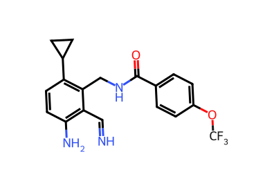 N=Cc1c(N)ccc(C2CC2)c1CNC(=O)c1ccc(OC(F)(F)F)cc1